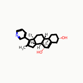 CC[C@]12CC[C@H]3[C@@H]([C@@H](O)C=C4C[C@@H](O)CC[C@@]43C)[C@@H]1CC(C)=C2c1cccnc1